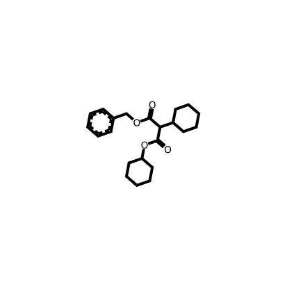 O=C(OCc1ccccc1)C(C(=O)OC1CCCCC1)C1CCCCC1